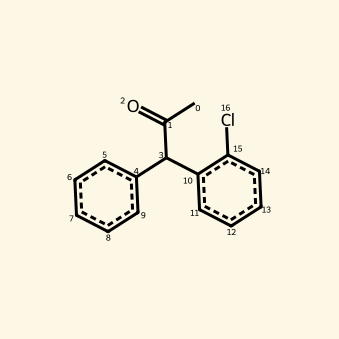 CC(=O)C(c1ccccc1)c1ccccc1Cl